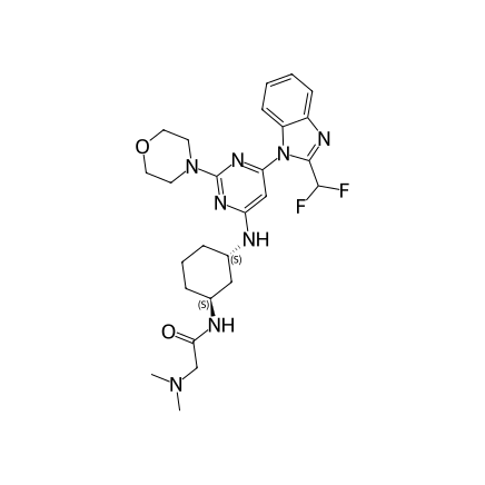 CN(C)CC(=O)N[C@H]1CCC[C@H](Nc2cc(-n3c(C(F)F)nc4ccccc43)nc(N3CCOCC3)n2)C1